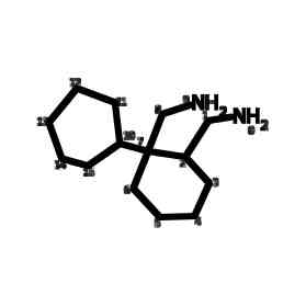 NCC1CCCCC1(CN)C1CCCCC1